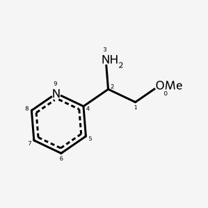 COCC(N)c1ccccn1